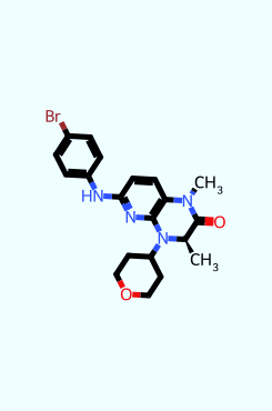 C[C@@H]1C(=O)N(C)c2ccc(Nc3ccc(Br)cc3)nc2N1C1CCOCC1